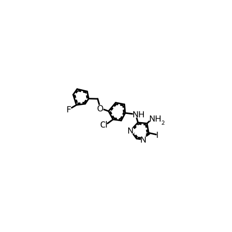 Nc1c(I)ncnc1Nc1ccc(OCc2cccc(F)c2)c(Cl)c1